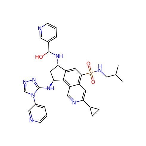 CC(C)CNS(=O)(=O)c1cc2c(c3cnc(C4CC4)cc13)[C@@H](Nc1nncn1-c1cccnc1)C[C@@H]2NC(O)c1cccnc1